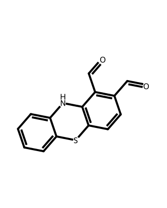 O=Cc1ccc2c(c1C=O)Nc1ccccc1S2